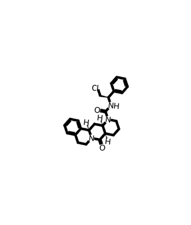 O=C1[C@@H]2CCCN(C(=O)N[C@@H](CCl)c3ccccc3)[C@@H]2C[C@@H]2c3ccccc3CCN12